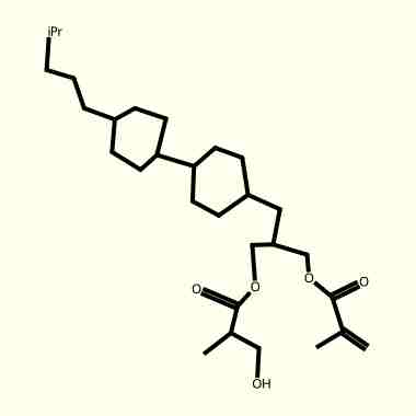 C=C(C)C(=O)OCC(COC(=O)C(C)CO)CC1CCC(C2CCC(CCCC(C)C)CC2)CC1